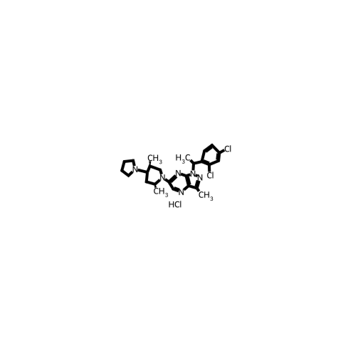 Cc1nn(C(C)c2ccc(Cl)cc2Cl)c2nc(N3C[C@H](C)C(N4CCCC4)C[C@@H]3C)cnc12.Cl